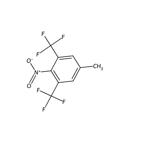 Cc1cc(C(F)(F)F)c([N+](=O)[O-])c(C(F)(F)F)c1